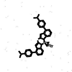 CC1=Cc2c(-c3ccc(C(C)C)cc3)cccc2[CH]1[Ti+2]1([CH]2C(C)=Cc3c(-c4ccc(C(C)C)cc4)cccc32)[CH2][CH2]1.[Cl-].[Cl-]